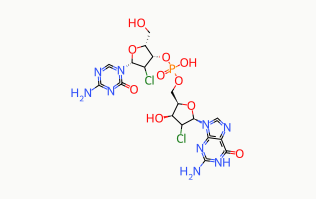 Nc1ncn([C@@H]2O[C@H](CO)[C@H](OP(=O)(O)OC[C@H]3O[C@@H](n4cnc5c(=O)[nH]c(N)nc54)C(Cl)[C@H]3O)C2Cl)c(=O)n1